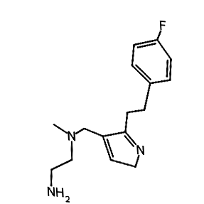 CN(CCN)CC1=CCN=C1CCc1ccc(F)cc1